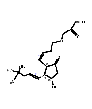 CCCCC(C)(O)C/C=C/[C@H]1[C@H](O)CC(=O)[C@@H]1/C=C\CCOCC(=O)CO